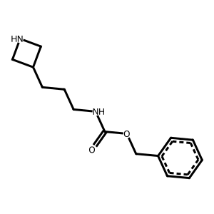 O=C(NCCCC1CNC1)OCc1ccccc1